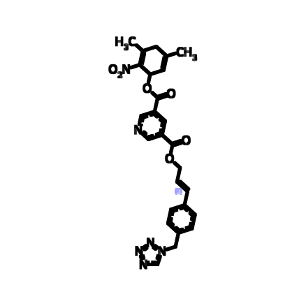 CC1=CC(OC(=O)c2cncc(C(=O)OC/C=C/c3ccc(Cn4cnnn4)cc3)c2)C([N+](=O)[O-])=C(C)C1